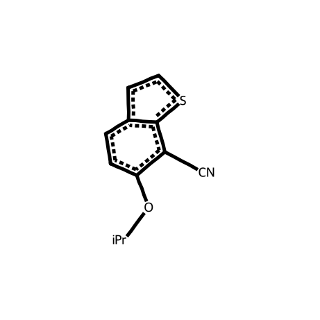 CC(C)Oc1ccc2ccsc2c1C#N